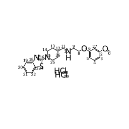 COc1cccc(OCCNCC2CCN(c3nc4ccccc4s3)CC2)c1.Cl.Cl